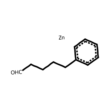 O=CCCCCc1ccccc1.[Zn]